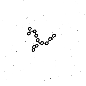 c1cc(-c2ccc(N(c3ccc(-c4ccc(-c5cccc(-n6c7ccccc7c7ccccc76)c5)cc4)cc3)c3ccc4c(ccc5ccccc54)c3)cc2)cc(-c2ccc3c(c2)oc2ccccc23)c1